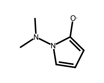 CN(C)n1cccc1[O]